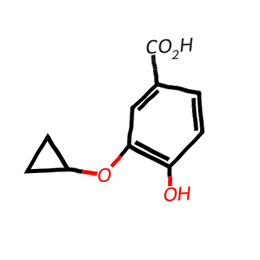 O=C(O)c1ccc(O)c(OC2CC2)c1